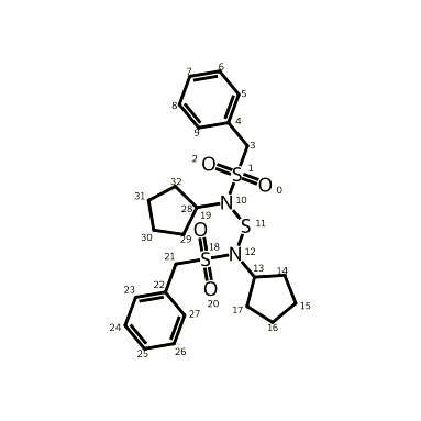 O=S(=O)(Cc1ccccc1)N(SN(C1CCCC1)S(=O)(=O)Cc1ccccc1)C1CCCC1